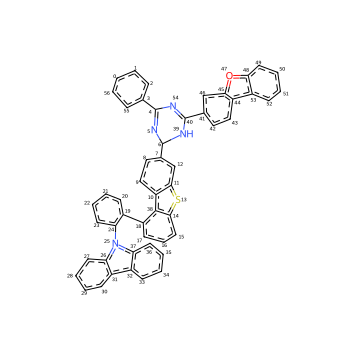 c1ccc(C2=NC(c3ccc4c(c3)sc3cccc(-c5ccccc5-n5c6ccccc6c6ccccc65)c34)NC(c3ccc4c(c3)oc3ccccc34)=N2)cc1